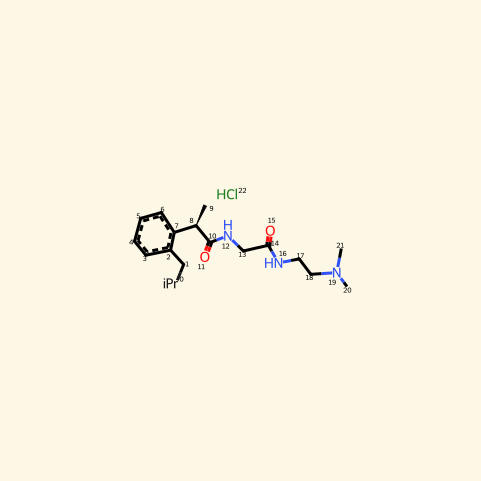 CC(C)Cc1ccccc1[C@@H](C)C(=O)NCC(=O)NCCN(C)C.Cl